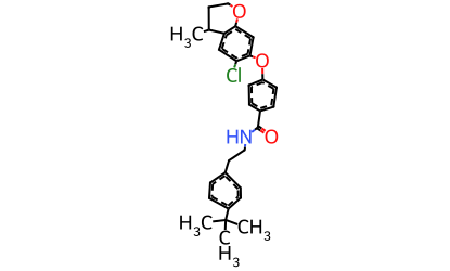 CC1CCOc2cc(Oc3ccc(C(=O)NCCc4ccc(C(C)(C)C)cc4)cc3)c(Cl)cc21